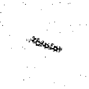 CC1Sc2ccc(C(=O)Nc3ccc([S+]([O-])Nc4ccc(C(F)(F)F)cc4)cc3)cc2NC1=O